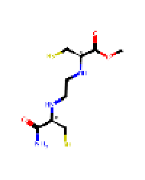 COC(=O)[C@H](CS)NCCN[C@@H](CS)C(N)=O